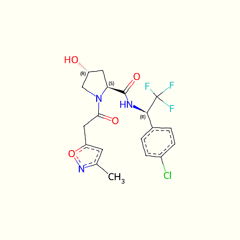 Cc1cc(CC(=O)N2C[C@H](O)C[C@H]2C(=O)N[C@H](c2ccc(Cl)cc2)C(F)(F)F)on1